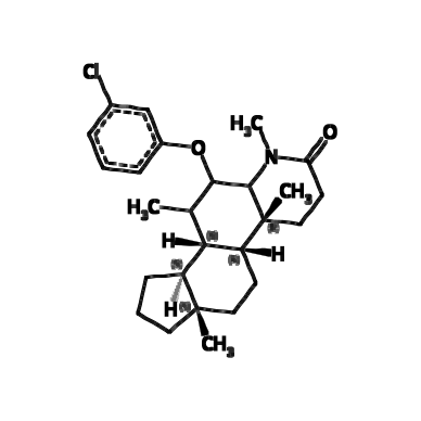 CC1C(Oc2cccc(Cl)c2)C2N(C)C(=O)CC[C@]2(C)[C@@H]2CC[C@]3(C)CCC[C@H]3[C@H]12